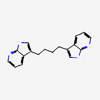 c1cnc2[nH]cc(CCCCc3c[nH]c4ncccc34)c2c1